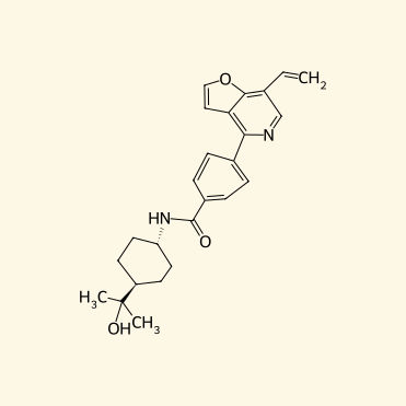 C=Cc1cnc(-c2ccc(C(=O)N[C@H]3CC[C@H](C(C)(C)O)CC3)cc2)c2ccoc12